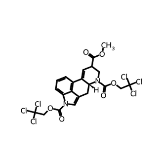 COC(=O)C1C=C2c3cccc4c3c(cn4C(=O)OCC(Cl)(Cl)Cl)C[C@H]2N(C(=O)OCC(Cl)(Cl)Cl)C1